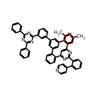 Cc1ccc(-c2cc(-c3cccc(-c4nc(-c5ccccc5)nc(-c5ccccc5)n4)c3)cc(-c3ccccc3-c3cc(-c4ccccc4)nc(-c4ccccc4-c4ccncc4)n3)c2)c(C)n1